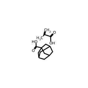 C=C(C)C(=O)O.O=C(O)C12CC3CC(CC(C3)C1)C2